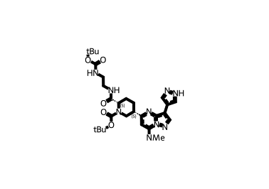 CNc1cc([C@H]2CC[C@@H](C(=O)NCCNC(=O)OC(C)(C)C)N(C(=O)OC(C)(C)C)C2)nc2c(-c3cn[nH]c3)cnn12